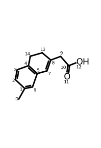 Cc1ccc2c(c1)C=C(CC(=O)O)CC2